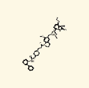 CCOc1ccc([C@H](CNCc2cc3c(cc2OC)N(C(=O)CCN2CCC(OC(=O)Nc4ccccc4-c4ccccc4)CC2)CCC3)OCC)c2sc(=O)[nH]c12